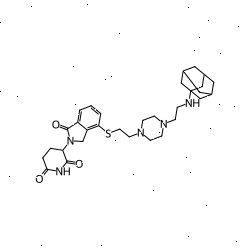 O=C1CCC(N2Cc3c(SCCN4CCN(CCNC56CC7CC(CC(C7)C5)C6)CC4)cccc3C2=O)C(=O)N1